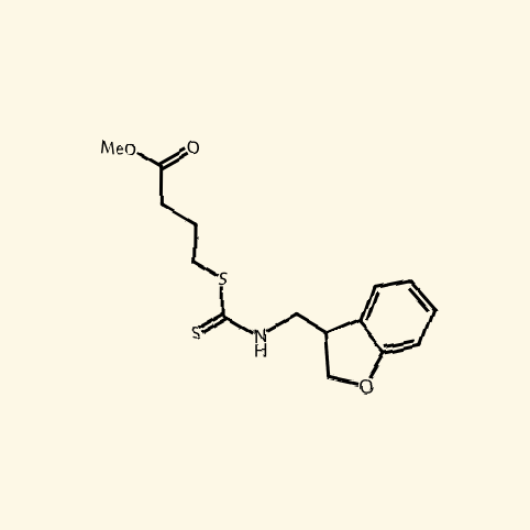 COC(=O)CCCSC(=S)NCC1COc2ccccc21